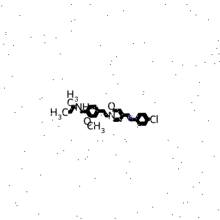 CC[C@H](C)NCc1ccc(CCn2ccc(/C=C/c3ccc(Cl)cc3)cc2=O)cc1OC